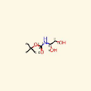 CC(C)(C)OC(=O)N[C@H](O)CO